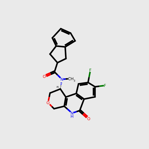 CN(C(=O)C1Cc2ccccc2C1)[C@H]1COCc2[nH]c(=O)c3cc(F)c(F)cc3c21